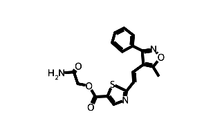 Cc1onc(-c2ccccc2)c1C=Cc1ncc(C(=O)OCC(N)=O)s1